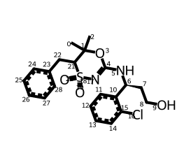 CC1(C)OC(N[C@@H](CCO)c2ccccc2Cl)=NS(=O)(=O)C1Cc1ccccc1